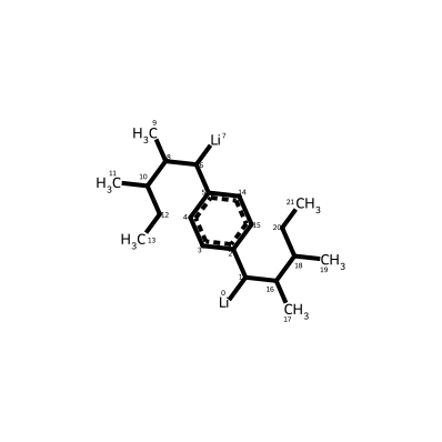 [Li][CH](c1ccc([CH]([Li])C(C)C(C)CC)cc1)C(C)C(C)CC